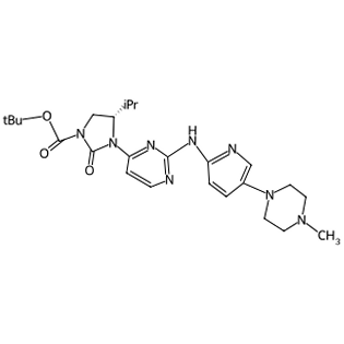 CC(C)[C@H]1CN(C(=O)OC(C)(C)C)C(=O)N1c1ccnc(Nc2ccc(N3CCN(C)CC3)cn2)n1